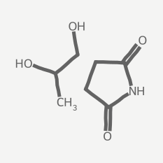 CC(O)CO.O=C1CCC(=O)N1